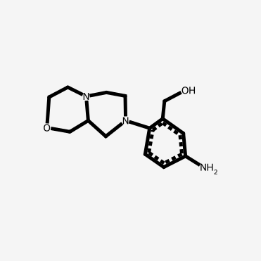 Nc1ccc(N2CCN3CCOCC3C2)c(CO)c1